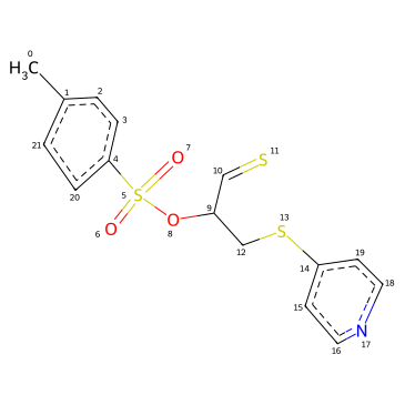 Cc1ccc(S(=O)(=O)OC(C=S)CSc2ccncc2)cc1